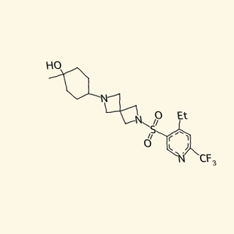 CCc1cc(C(F)(F)F)ncc1S(=O)(=O)N1CC2(CN(C3CCC(C)(O)CC3)C2)C1